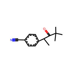 CC(C(=O)C(C)(C)C)c1ccc(C#N)cc1